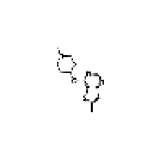 Cc1cc2ncnc(OC3CCN(C)CC3)c2s1